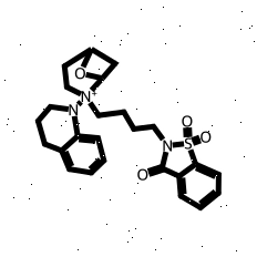 O=C1c2ccccc2S(=O)(=O)N1CCCC[N+]1(N2CCCc3ccccc32)CCC2CC1O2